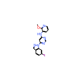 COc1ncccc1Nc1cc(-n2ncc3ccc(I)cc32)ncn1